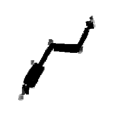 N#CC=C[Si]